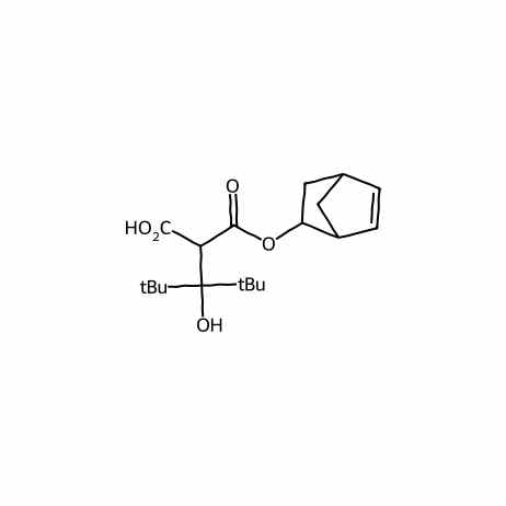 CC(C)(C)C(O)(C(C(=O)O)C(=O)OC1CC2C=CC1C2)C(C)(C)C